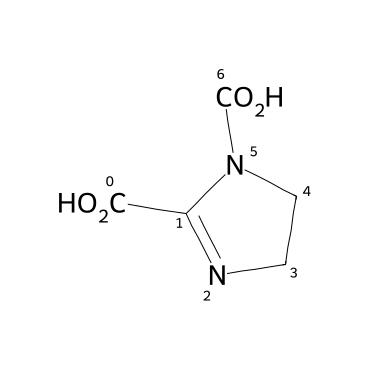 O=C(O)C1=NCCN1C(=O)O